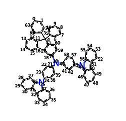 c1ccc(C2(c3ccccc3)c3ccccc3-c3cc(N(c4ccc(-n5c6ccccc6c6ccccc65)cc4)c4ccc(-n5c6ccccc6c6ccccc65)cc4)ccc32)cc1